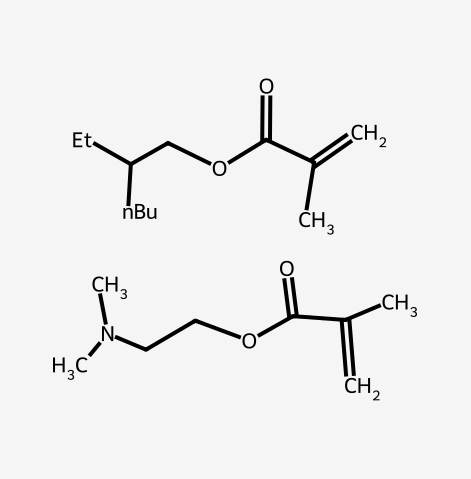 C=C(C)C(=O)OCC(CC)CCCC.C=C(C)C(=O)OCCN(C)C